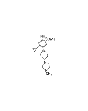 COc1cc(N2CCC(N3CCN(C)CC3)CC2)c(C2CC2)cc1N